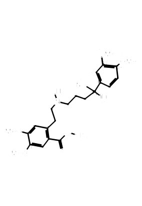 CCCCOC(=O)c1cc(OC)c(OC)cc1CCN(C)CCCC(C#N)(c1ccc(OC)c(OC)c1)C(C)C